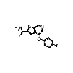 NC(=O)c1cc2c(Oc3ccc(F)cc3)cncc2s1